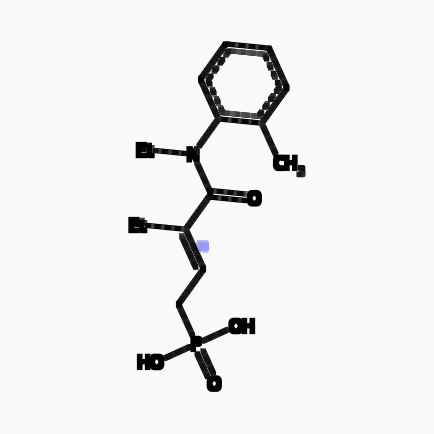 CC/C(=C\CP(=O)(O)O)C(=O)N(CC)c1ccccc1C